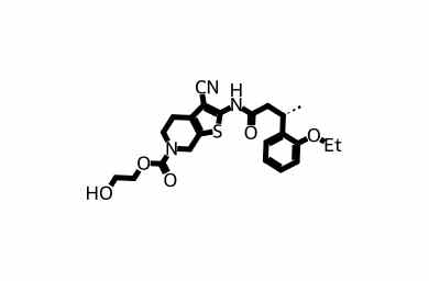 CCOc1ccccc1[C@@H](C)CC(=O)Nc1sc2c(c1C#N)CCN(C(=O)OCCO)C2